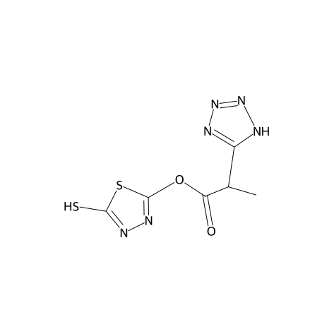 CC(C(=O)Oc1nnc(S)s1)c1nnn[nH]1